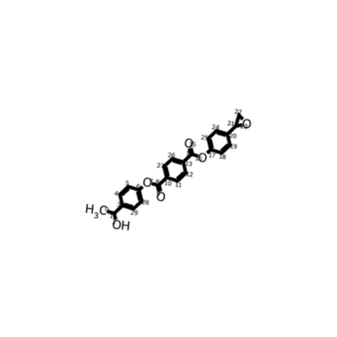 CC(O)c1ccc(OC(=O)c2ccc(C(=O)Oc3ccc(C4CO4)cc3)cc2)cc1